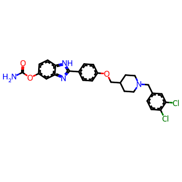 NC(=O)Oc1ccc2[nH]c(-c3ccc(OCC4CCN(Cc5ccc(Cl)c(Cl)c5)CC4)cc3)nc2c1